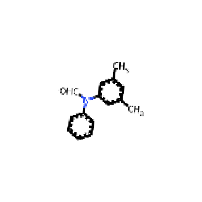 Cc1cc(C)cc(N([C]=O)c2ccccc2)c1